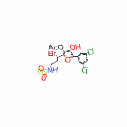 CC(=O)Oc1c(C(Br)CCN[SH](=O)=O)oc(-c2cc(Cl)cc(Cl)c2)c1O